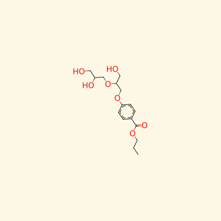 CCCOC(=O)c1ccc(OCC(CO)OCC(O)CO)cc1